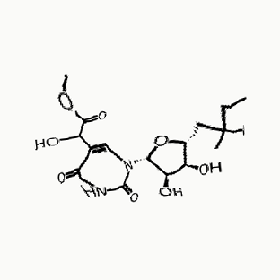 CCC(C)(I)C[C@H]1O[C@@H](n2cc(C(O)C(=O)OC)c(=O)[nH]c2=O)[C@H](O)[C@@H]1O